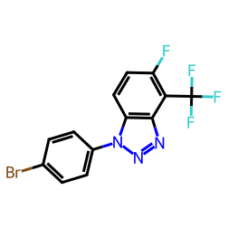 Fc1ccc2c(nnn2-c2ccc(Br)cc2)c1C(F)(F)F